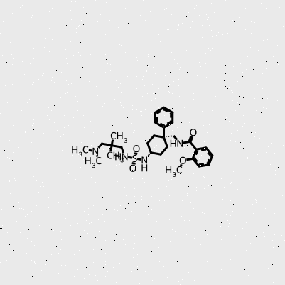 COc1ccccc1C(=O)NC[C@]1(c2ccccc2)CC[C@H](NS(=O)(=O)NCC(C)(C)CN(C)C)CC1